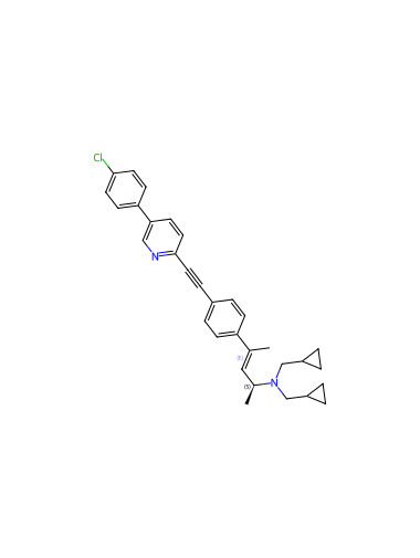 C/C(=C\[C@H](C)N(CC1CC1)CC1CC1)c1ccc(C#Cc2ccc(-c3ccc(Cl)cc3)cn2)cc1